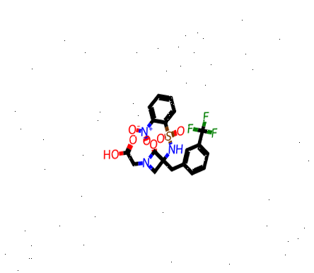 O=C(O)CN1CC(Cc2cccc(C(F)(F)F)c2)(NS(=O)(=O)c2ccccc2[N+](=O)[O-])C1=O